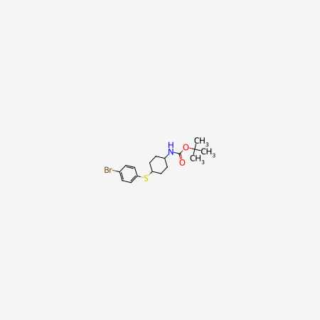 CC(C)(C)OC(=O)NC1CCC(Sc2ccc(Br)cc2)CC1